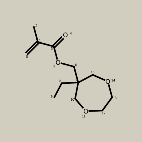 C=C(C)C(=O)OCC1(CC)COCCOC1